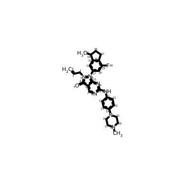 C=CCn1c(=O)c2cnc(Nc3ccc(N4CCN(C)CC4)cc3)nc2n1-c1cc(F)c2c(c1)C(C)CC2